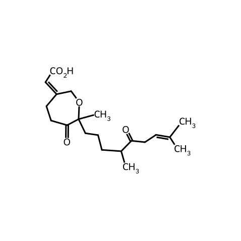 CC(C)=CCC(=O)C(C)CCCC1(C)OCC(=CC(=O)O)CCC1=O